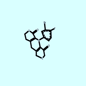 O=C1CSCC2=C1N(c1ccc(F)c(Br)c1)C1=C(CCSC1=O)C2